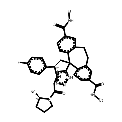 CCNC(=O)c1ccc2c(c1)CCc1cc(C(=O)NCC)ccc1C2(C[C@H](NCC(=O)N1CCC[C@H]1C#N)c1ccc(F)cc1)c1nnn[nH]1